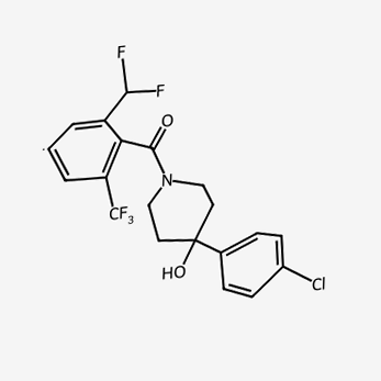 O=C(c1c(C(F)F)c[c]cc1C(F)(F)F)N1CCC(O)(c2ccc(Cl)cc2)CC1